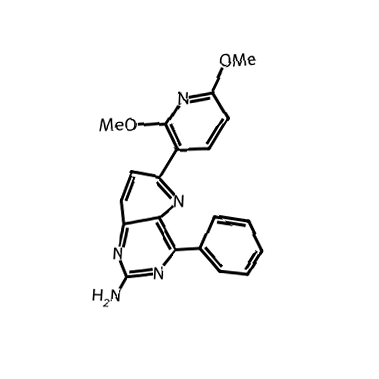 COc1ccc(-c2ccc3nc(N)nc(-c4ccccc4)c3n2)c(OC)n1